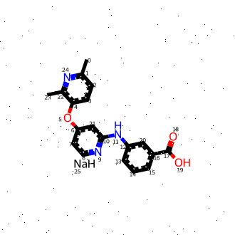 Cc1ccc(Oc2ccnc(Nc3cccc(C(=O)O)c3)c2)c(C)n1.[NaH]